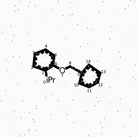 CC(C)c1c[c]ccc1OCc1ccccc1